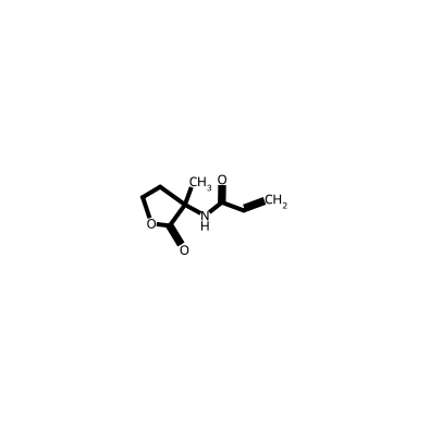 C=CC(=O)NC1(C)CCOC1=O